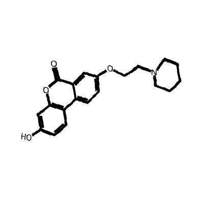 O=c1oc2cc(O)ccc2c2ccc(OCCN3CCCCC3)cc12